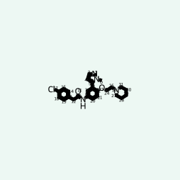 Cn1nccc1-c1cc(NC(=O)Cc2ccc(Cl)cc2)ccc1OCCN1CCCCC1